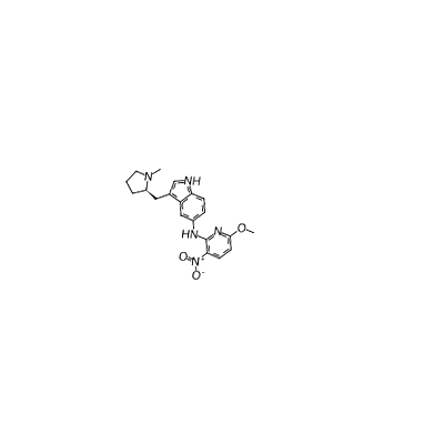 COc1ccc([N+](=O)[O-])c(Nc2ccc3[nH]cc(C[C@H]4CCCN4C)c3c2)n1